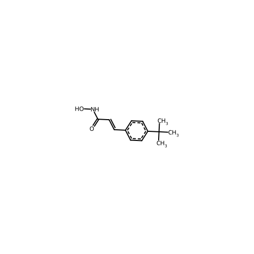 CC(C)(C)c1ccc(/C=C/C(=O)NO)cc1